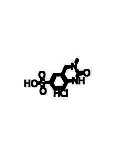 CN1Cc2cc(S(=O)(=O)O)ccc2NC1=O.Cl